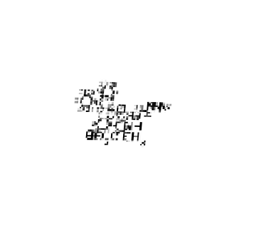 CC1=C(C(=O)O)C(c2cccc(Cl)c2)C(C(=O)OCCC(c2ccccc2)c2ccccc2)=C(COCCN=[N+]=[N-])N1